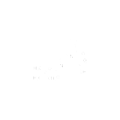 CC(C)(C)OC(=O)N1CCN(C(=O)C2CC2)C(C(=O)O)C1